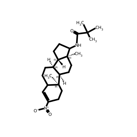 CC(C)(C)C(=O)NC1CC[C@H]2[C@@H]3CCC4C=C([N+](=O)[O-])CC[C@]4(C)[C@@H]3CC[C@]12C